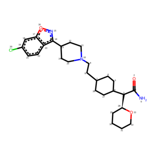 NC(=O)C(C1CCC(CCN2CCC(c3noc4cc(Cl)ccc34)CC2)CC1)[C@@H]1CCCCO1